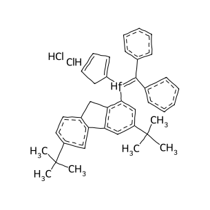 CC(C)(C)c1ccc2c(c1)-c1cc(C(C)(C)C)c[c]([Hf]([C]3=CC=CC3)=[C](c3ccccc3)c3ccccc3)c1C2.Cl.Cl